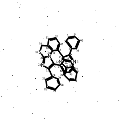 c1ccc(-c2nc3ccccc3nc2-c2cccc3c2-n2c(nc(-c4ccccc4)c2-c2ccccc2)SC3)cc1